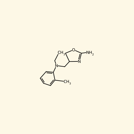 CCN(CC1COC(N)=N1)c1ccccc1C